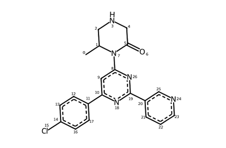 CC1CNCC(=O)N1c1cc(-c2ccc(Cl)cc2)nc(-c2cccnc2)n1